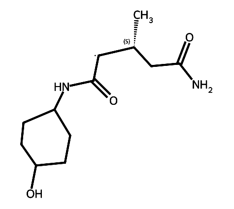 C[C@@H]([CH]C(=O)NC1CCC(O)CC1)CC(N)=O